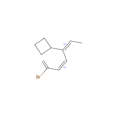 C=C(Br)/C=C\C(=C/C)C1CCC1